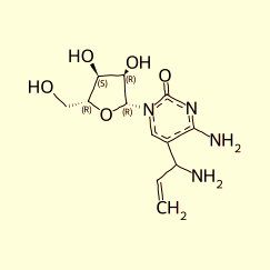 C=CC(N)c1cn([C@@H]2O[C@H](CO)[C@@H](O)[C@H]2O)c(=O)nc1N